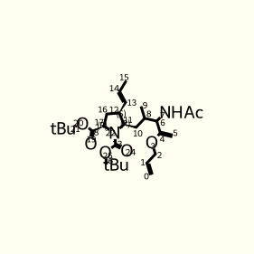 C=CCOC(=C)C(NC(C)=O)C(C)C[C@@H]1[C@H](C=CC)C[C@H](C(=O)OC(C)(C)C)N1C(=O)OC(C)(C)C